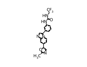 Cc1ncc(-c2ccn3c(-c4cccc(NC(=O)NCC(F)(F)F)c4)cnc3c2)o1